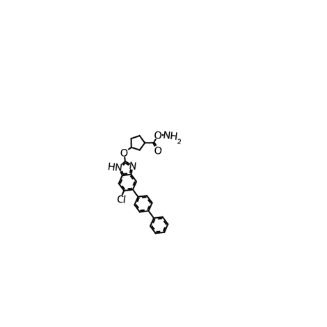 NOC(=O)C1CCC(Oc2nc3cc(-c4ccc(-c5ccccc5)cc4)c(Cl)cc3[nH]2)C1